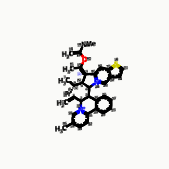 C=CC1C(C2[C@@H]([C@@H](C)C(C)C)/C(=C(\C)OC(=C)NC)c3cc4sccc4c[n+]32)c2ccccc2-c2ccc(C)c[n+]21